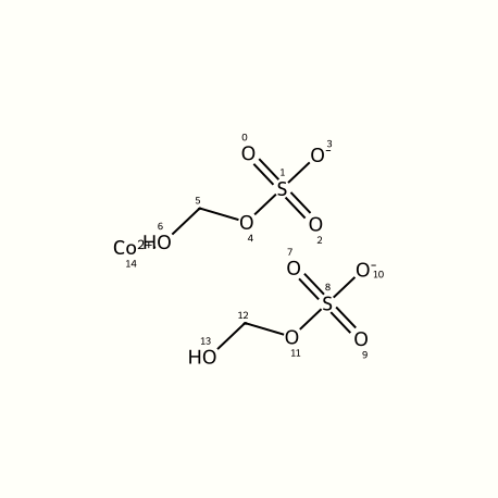 O=S(=O)([O-])OCO.O=S(=O)([O-])OCO.[Co+2]